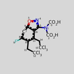 O=C(O)N(C(=O)O)c1noc2cc(F)c(CC(Cl)(Cl)Cl)c(CC(Cl)(Cl)Cl)c12